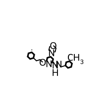 Cc1cccc(C=NNc2cc(N3CCOCC3)cc(OCCc3c[c]ccc3)n2)c1